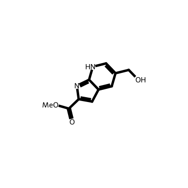 COC(=O)c1cc2cc(CO)c[nH]c-2n1